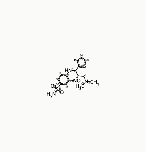 CN(C)CCC(Nc1ccc(S(N)(=O)=O)cc1[N+](=O)[O-])c1cccs1